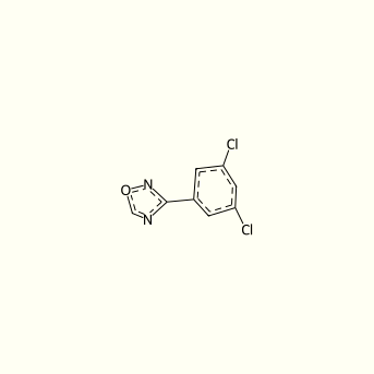 Clc1cc(Cl)cc(-c2ncon2)c1